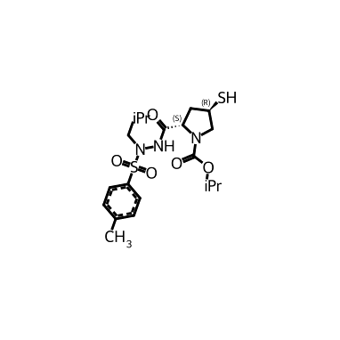 Cc1ccc(S(=O)(=O)N(CC(C)C)NC(=O)[C@@H]2C[C@@H](S)CN2C(=O)OC(C)C)cc1